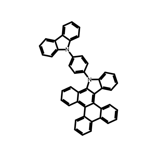 c1ccc2c(c1)c1ccccc1c1c2c2ccccc2c2c1c1ccccc1n2-c1ccc(-n2c3ccccc3c3ccccc32)cc1